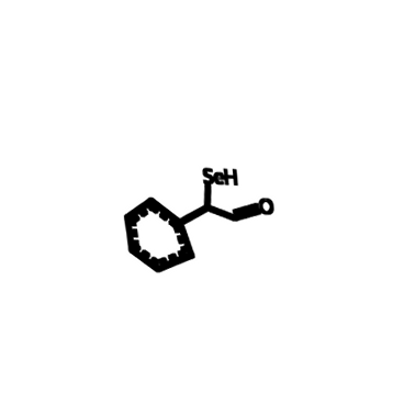 O=CC([SeH])c1ccccc1